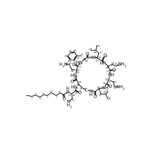 CCCCCCCCCC(=O)N[C@H](CN)C(=O)N[C@H]1CCNC(=O)[C@H](CC(C)C)NC(=O)[C@H](CCN)NC(=O)[C@H](CCN)NC(=O)[C@H](CC(C)C)NC(=O)[C@@H](Cc2ccccc2)NC(=O)[C@H](CCN)NC1=O